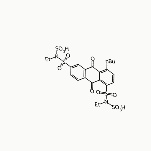 CCCCc1ccc(S(=O)(=O)N(CC)S(=O)(=O)O)c2c1C(=O)c1cc(S(=O)(=O)N(CC)S(=O)(=O)O)ccc1C2=O